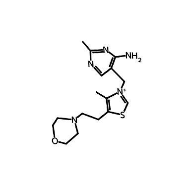 Cc1ncc(C[n+]2csc(CCN3CCOCC3)c2C)c(N)n1